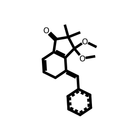 COC1(OC)C2=C(C=CCC2=Cc2ccccc2)C(=O)C1(C)C